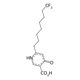 O=C(O)c1c[nH]c(CCCCCCCC(F)(F)F)cc1=O